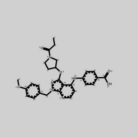 CCC(=O)N1CCC(Oc2nn(Cc3ccc(OC)cc3)c3nccc(Nc4ccc(C(=O)O)cc4)c23)C1